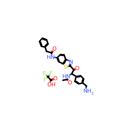 CC(=O)NC(C(=O)c1nc2ccc(NC(=O)Cc3ccccc3)cc2s1)c1ccc(CN)cc1.O=C(O)C(F)(F)F